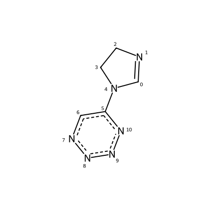 C1=NCCN1c1cnnnn1